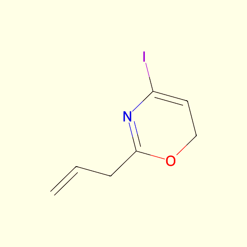 C=CCC1=NC(I)=CCO1